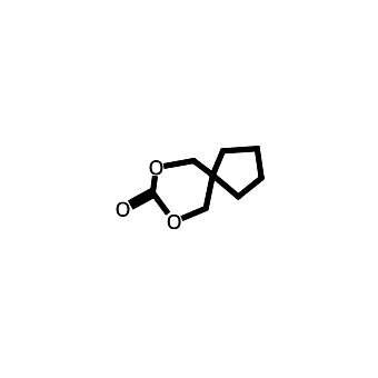 O=C1OCC2(CCCC2)CO1